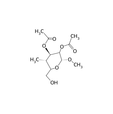 CO[C@@H]1OC(CO)[C@H](C)[C@@H](OC(C)=O)C1OC(C)=O